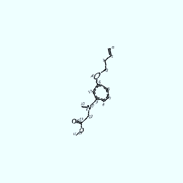 C=CCCOc1cccc(N(C)CC(=O)OC)c1